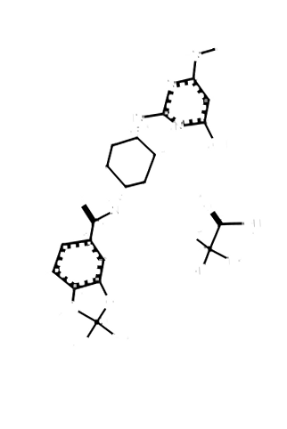 CNc1cc(C)nc(N[C@H]2CC[C@@H](NC(=O)c3ccc4c(c3)OC(F)(F)O4)CC2)n1.O=C(O)C(F)(F)F